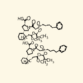 CCC(=O)OC(O[P@](=O)(CCCCc1ccccc1)CC(=O)N1C[C@H](C2CCCCC2)C[C@H]1C(=O)O)C(C)C.CCC(=O)OC(O[P@](=O)(CCCCc1ccccc1)CC(=O)N1C[C@H](C2CCCCC2)C[C@H]1C(=O)O)C(C)C